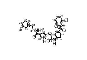 Cc1[nH]c(/C=C2\C(=O)Nc3ccc(S(=O)(=O)Cc4c(Cl)cccc4Cl)cc32)c(C)c1C(=O)NCCN1CCCC(F)C1